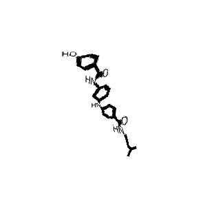 CC(C)CCNC(=O)c1ccc(Nc2cccc(NC(=O)c3ccc(O)cc3)c2)cc1